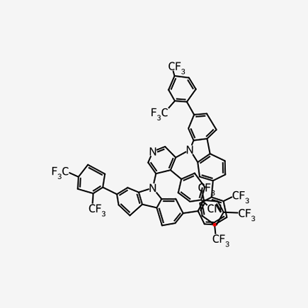 N#Cc1ccc(-c2c(-n3c4cc(-c5ccc(C(F)(F)F)cc5C(F)(F)F)ccc4c4ccc(-c5ccc(C(F)(F)F)cc5C(F)(F)F)cc43)cncc2-n2c3cc(-c4ccc(C(F)(F)F)cc4C(F)(F)F)ccc3c3ccc(-c4ccc(C(F)(F)F)cc4C(F)(F)F)cc32)cc1